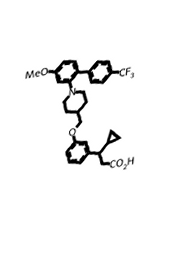 COc1ccc(-c2ccc(C(F)(F)F)cc2)c(N2CCC(COc3cccc(C(CC(=O)O)C4CC4)c3)CC2)c1